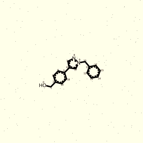 OCc1ccc(-c2cnn(Cc3ccccc3)c2)cc1